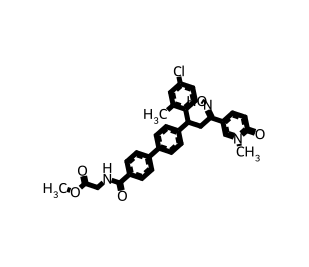 COC(=O)CNC(=O)c1ccc(-c2ccc(C(C/C(=N\O)c3ccc(=O)n(C)c3)c3ccc(Cl)cc3C)cc2)cc1